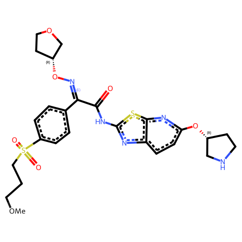 COCCCS(=O)(=O)c1ccc(/C(=N\O[C@@H]2CCOC2)C(=O)Nc2nc3ccc(O[C@@H]4CCNC4)nc3s2)cc1